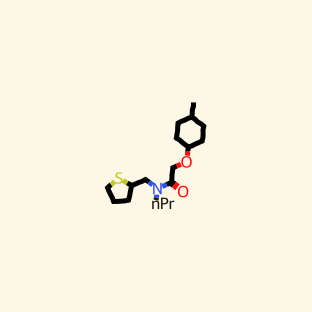 CCCN(CC1CCCS1)C(=O)COC1CCC(C)CC1